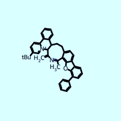 C=C1/N=C(/C)c2c(ccc3c2oc2c(-c4ccccc4)cccc23)CCC2c3ccccc3-c3ccc(C(C)(C)C)c[n+]3C12